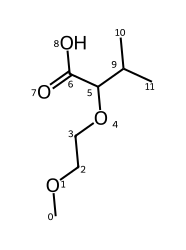 COCCOC(C(=O)O)C(C)C